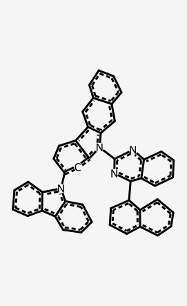 c1ccc2cc3c(cc2c1)c1ccc(-n2c4ccccc4c4ccccc42)cc1n3-c1nc(-c2cccc3ccccc23)c2ccccc2n1